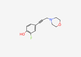 Oc1ccc(C#CCN2CCOCC2)cc1F